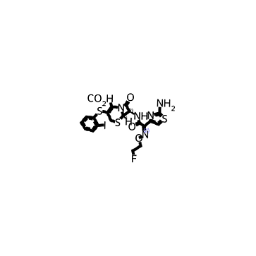 Nc1nc(/C(=N/OCCF)C(=O)N[C@@H]2C(=O)N3C(C(=O)O)=C(Sc4ccccc4I)CS[C@H]23)cs1